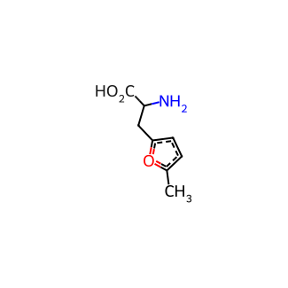 Cc1ccc(CC(N)C(=O)O)o1